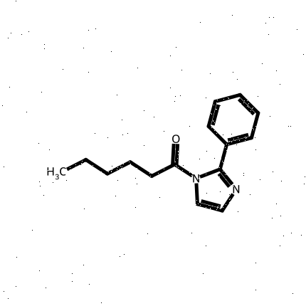 CCCCCC(=O)n1ccnc1-c1ccccc1